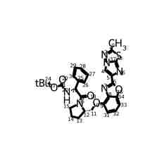 Cc1nn2cc(-c3nc4c(OC[C@@H]5CCCN5C(=O)[C@H](NC(=O)OC(C)(C)C)c5ccccc5)cccc4o3)nc2s1